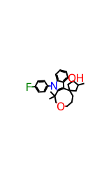 CC1CCC2(CCCOCC(C)(C)c3c2c2c(O)cccc2n3-c2ccc(F)cc2)C1